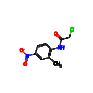 Cc1cc([N+](=O)[O-])ccc1NC(=O)CCl